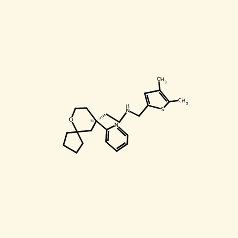 Cc1cc(CNCC[C@@]2(c3ccccn3)CCOC3(CCCC3)C2)sc1C